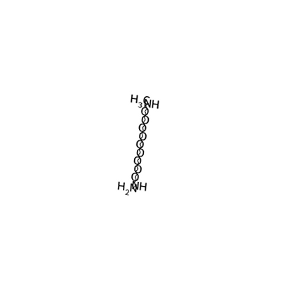 CNCCOCCOCCOCCOCCOCCOCCOCCOCCOCCNN